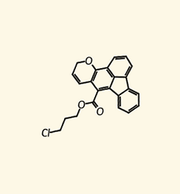 O=C(OCCCCl)c1c2c(c3cccc4c3c1-c1ccccc1-4)OCC=C2